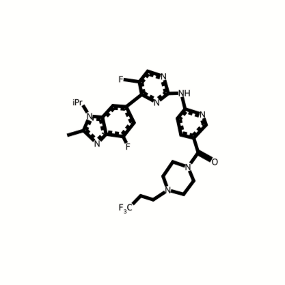 Cc1nc2c(F)cc(-c3nc(Nc4ccc(C(=O)N5CCN(CCC(F)(F)F)CC5)cn4)ncc3F)cc2n1C(C)C